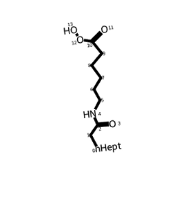 CCCCCCCCC(=O)NCCCCCC(=O)OO